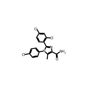 Cc1c(C(N)=O)nc(-c2ccc(Cl)cc2Cl)n1-c1ccc(Cl)cc1